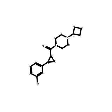 O=C(C1CC1c1cccc(Br)c1)N1CCN(C2CCC2)CC1